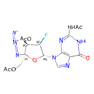 CC(=O)Nc1nc2c(ncn2[C@@H]2O[C@@](COC(C)=O)(N=[N+]=[N-])[C@@H](OC(C)=O)[C@H]2F)c(=O)[nH]1